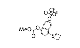 COC(=O)Oc1ccc([S+]2CCCC2)c2ccccc12.O=S(=O)([O-])C(F)(F)F